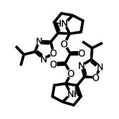 CC(C)c1noc(C2=CCC3CCC2(OC(=O)C(=O)OC24CCC(CC=C2c2nc(C(C)C)no2)N4)N3)n1